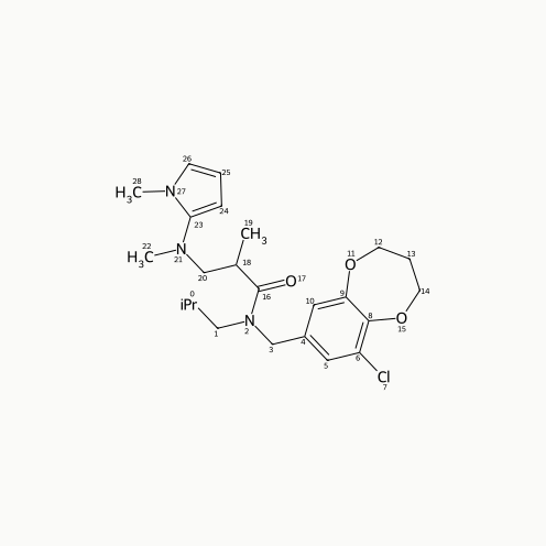 CC(C)CN(Cc1cc(Cl)c2c(c1)OCCCO2)C(=O)C(C)CN(C)c1cccn1C